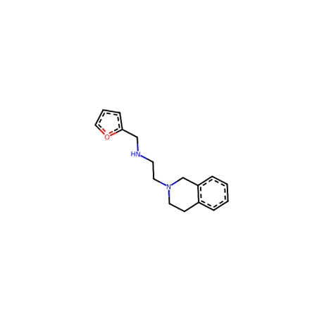 c1coc(CNCCN2CCc3ccccc3C2)c1